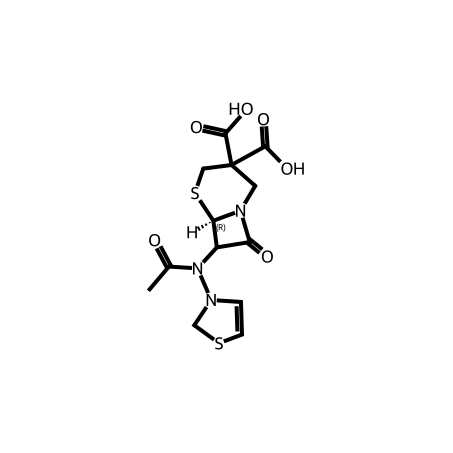 CC(=O)N(C1C(=O)N2CC(C(=O)O)(C(=O)O)CS[C@H]12)N1C=CSC1